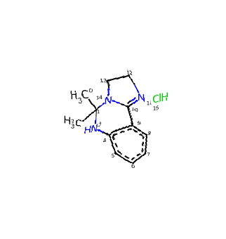 CC1(C)Nc2ccccc2C2=NCCN21.Cl